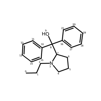 CCCN1CCCC1C(O)(c1ccccc1)c1ccccc1